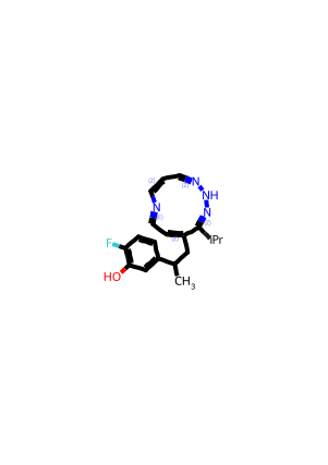 CC(C)C1=N\N\N=C/C=C\N=C\C=C/1CC(C)c1ccc(F)c(O)c1